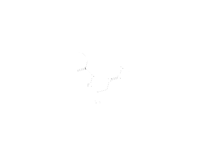 CCC[C@@H](CN=NN)NNC(=O)OC(C)(C)C